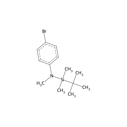 CN(c1ccc(Br)cc1)[Si](C)(C)C(C)(C)C